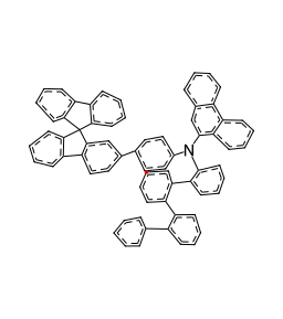 c1ccc(-c2ccccc2-c2ccccc2-c2ccccc2N(c2ccc(-c3ccc4c(c3)C3(c5ccccc5-c5ccccc53)c3ccccc3-4)cc2)c2cc3ccccc3c3ccccc23)cc1